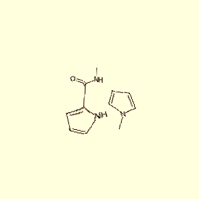 CNC(=O)c1ccc[nH]1.Cn1cccc1